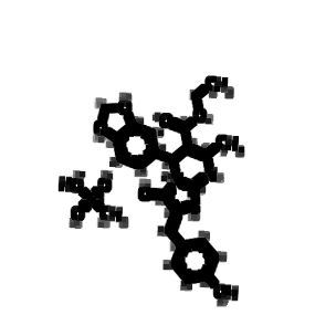 CCOC(=O)C1=C(C)N=c2sc(=Cc3ccc(O)cc3)c(=O)n2C1c1ccc2c(c1)OCO2.CS(=O)(=O)O